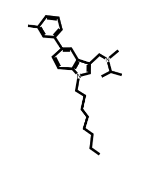 CCCCCCCCn1cc(CN(C)C(C)C)c2cc(-c3cccc(C)c3)ccc21